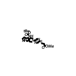 COC(=O)CCSc1cnc(N2CCC3(CC2)Cn2nccc2[C@H]3NC(=O)OC(C)(C)C)cn1